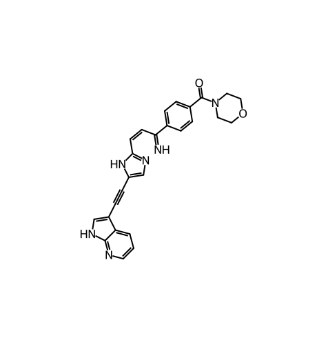 N=C(/C=C\c1ncc(C#Cc2c[nH]c3ncccc23)[nH]1)c1ccc(C(=O)N2CCOCC2)cc1